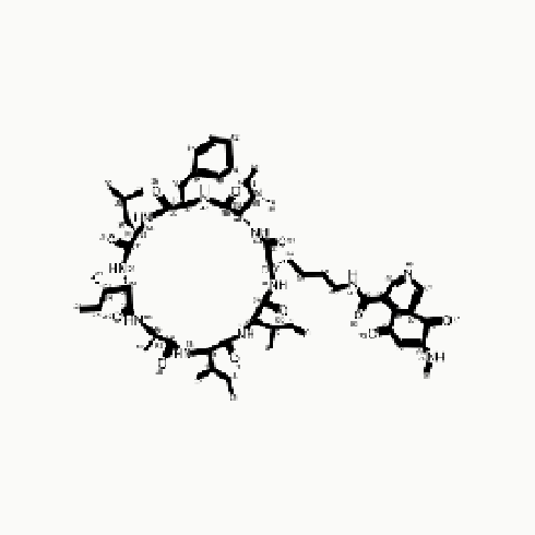 CCC(C)C1NC(=O)C(C(C)CC)NC(=O)[C@@H](C)NC(=O)[C@H]([C@@H](C)CC)NC(=O)[C@@H](CC(C)C)NC(=O)[C@@H](Cc2ccccc2)NC(=O)[C@H]([C@@H](C)CC)NC(=O)[C@H](CCCCNC(=O)c2cncc3c2C(=O)C=C(NC)C3=O)NC1=O